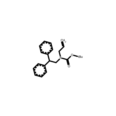 C=CCN(CC(c1ccccc1)c1ccccc1)C(=O)OC(C)(C)C